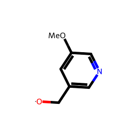 COc1cncc(C[O])c1